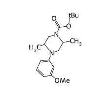 COc1cccc(N2CC(C)N(C(=O)OC(C)(C)C)CC2C)c1